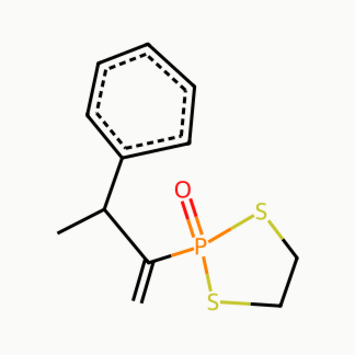 C=C(C(C)c1ccccc1)P1(=O)SCCS1